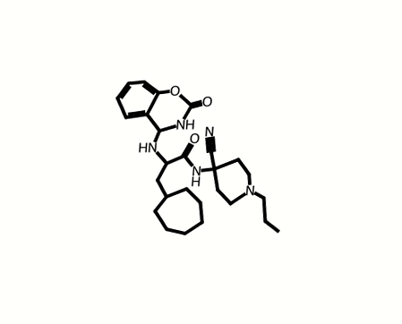 CCCN1CCC(C#N)(NC(=O)C(CC2CCCCCC2)NC2NC(=O)Oc3ccccc32)CC1